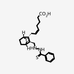 O=C(O)CCC/C=C\C[C@@H]1[C@@H](CNNC(=S)c2ccccc2)[C@@H]2CC[C@H]1O2